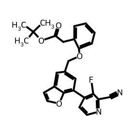 CC(C)(C)OC(=O)Cc1ccccc1OCc1cc(-c2ccnc(C#N)c2F)c2occc2c1